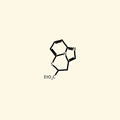 CCOC(=O)C1Cc2cnc3cccc(n23)S1